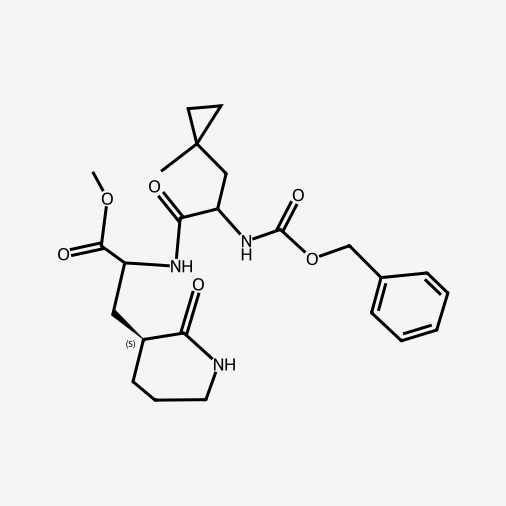 COC(=O)C(C[C@@H]1CCCNC1=O)NC(=O)C(CC1(C)CC1)NC(=O)OCc1ccccc1